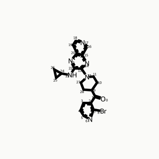 O=C(c1cccnc1Br)C1CCN(c2nc3cnccc3nc2NC2CC2)CC1